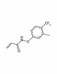 C=CC(=O)NSc1ccc(C(F)(F)F)c(C)c1